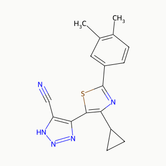 Cc1ccc(-c2nc(C3CC3)c(-c3nn[nH]c3C#N)s2)cc1C